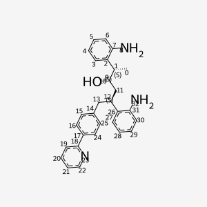 C[C@@H](c1ccccc1N)[C@@H](O)C[C@H](Cc1ccc(-c2ccccn2)cc1)c1ccccc1N